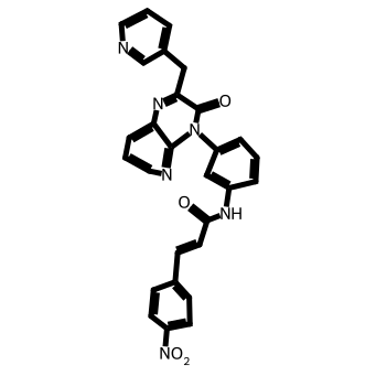 O=C(C=Cc1ccc([N+](=O)[O-])cc1)Nc1cccc(-n2c(=O)c(Cc3cccnc3)nc3cccnc32)c1